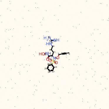 CC#CCON(C(CCCNC(=N)N)C(=O)NO)S(=O)(=O)c1ccccc1